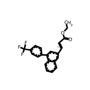 CCOC(=O)/C=C/c1cc(-c2ccc(C(F)(F)F)cc2)c2ccccc2c1